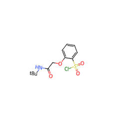 CC(C)(C)NC(=O)COc1ccccc1S(=O)(=O)Cl